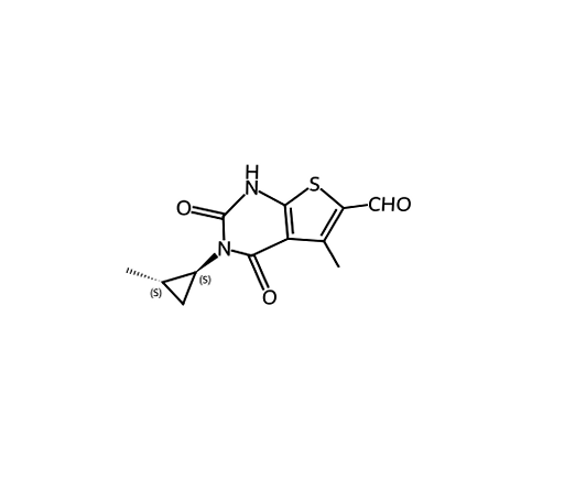 Cc1c(C=O)sc2[nH]c(=O)n([C@H]3C[C@@H]3C)c(=O)c12